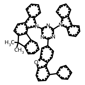 CC1(C)c2ccccc2-c2c1ccc1c3ccccc3n(-c3nc(-c4ccc5c(c4)oc4cccc(-c6ccccc6)c45)nc(-n4c5ccccc5c5ccccc54)n3)c21